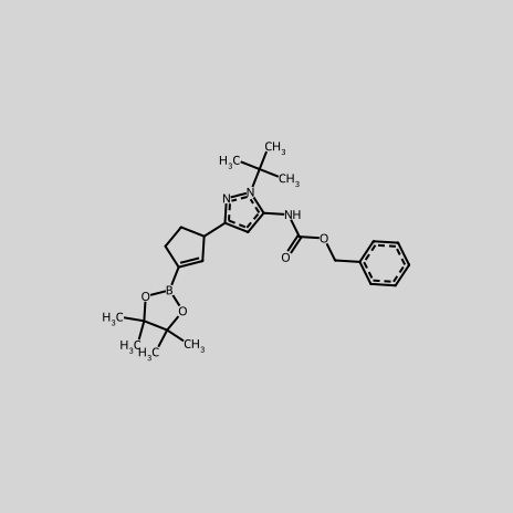 CC(C)(C)n1nc(C2C=C(B3OC(C)(C)C(C)(C)O3)CC2)cc1NC(=O)OCc1ccccc1